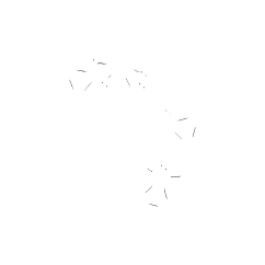 O=C1c2ccccc2C(=O)N1CCc1cccc(N2CCC(n3cc(-c4cnc5ccccc5n4)cn3)CC2)c1